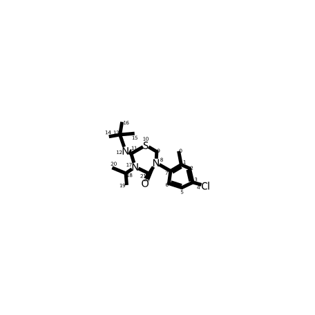 Cc1cc(Cl)ccc1N1CS/C(=N\C(C)(C)C)N(C(C)C)C1=O